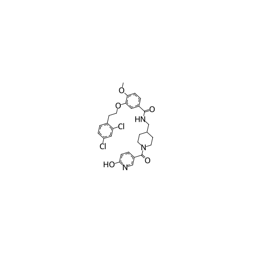 COc1ccc(C(=O)NCC2CCN(C(=O)c3ccc(O)nc3)CC2)cc1OCCc1ccc(Cl)cc1Cl